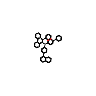 c1ccc(-c2ccc(N(c3ccc(-c4cccc5ccccc45)cc3)c3c(-c4ccccc4)c4ccccc4c4ccccc34)cc2)cc1